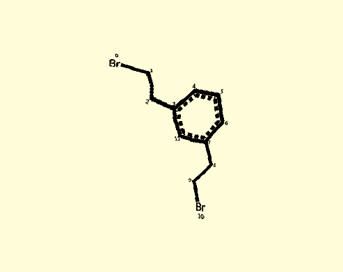 BrCCc1[c]ccc(CCBr)c1